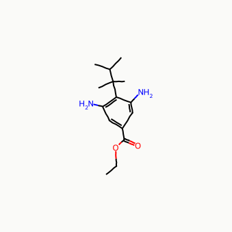 CCOC(=O)c1cc(N)c(C(C)(C)C(C)C)c(N)c1